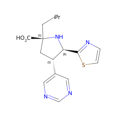 CC(C)C[C@@]1(C(=O)O)C[C@@H](c2cncnc2)[C@H](c2nccs2)N1